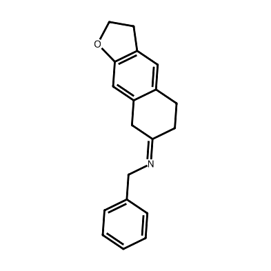 c1ccc(CN=C2CCc3cc4c(cc3C2)OCC4)cc1